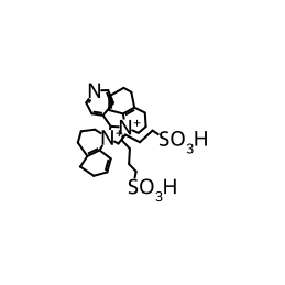 O=S(=O)(O)CCCC[N+]1(C(c2ccncc2)[N+]2(CCCCS(=O)(=O)O)CCCC3=C2C=CCC3)CCCC2=C1C=CCC2